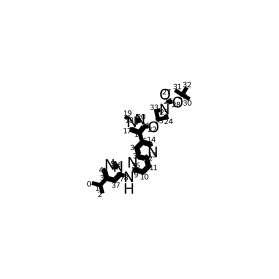 CC(C)c1cnnc(Nc2ccc3ncc(-c4cn(C)nc4OC4CN(C(=O)OC(C)(C)C)C4)cc3n2)c1